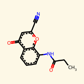 CCC(=O)Nc1cccc2c(=O)cc(C#N)oc12